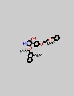 COc1ccccc1COCCCOc1ccc([C@H]2[C@H](O)CNC[C@@H]2OC(OC)c2cc(OC)c3ccccc3c2)cc1